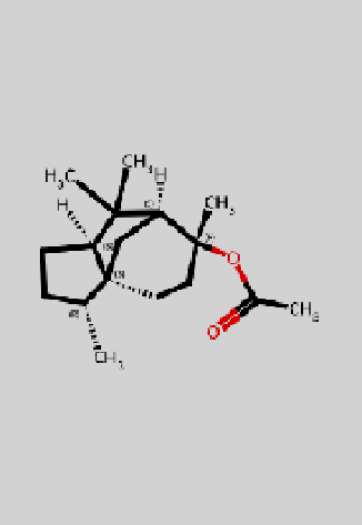 CC(=O)O[C@]1(C)CC[C@@]23C[C@H]1C(C)(C)[C@@H]2CC[C@H]3C